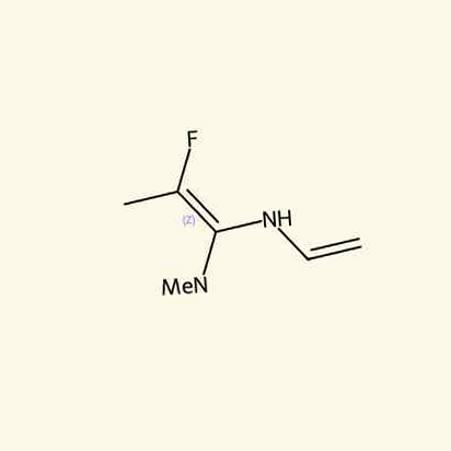 C=CN/C(NC)=C(/C)F